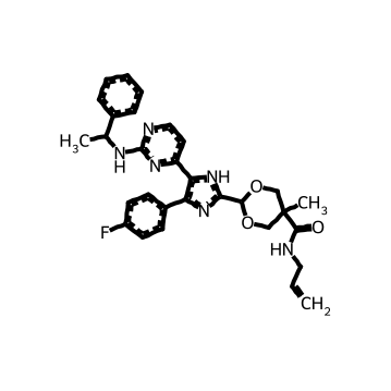 C=CCNC(=O)C1(C)COC(c2nc(-c3ccc(F)cc3)c(-c3ccnc(NC(C)c4ccccc4)n3)[nH]2)OC1